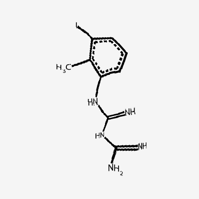 Cc1c(I)cccc1NC(=N)NC(=N)N